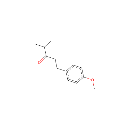 COc1ccc(CCC(=O)C(C)C)cc1